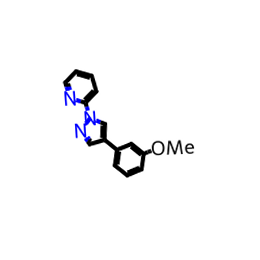 COc1cccc(-c2cnn(-c3ccccn3)c2)c1